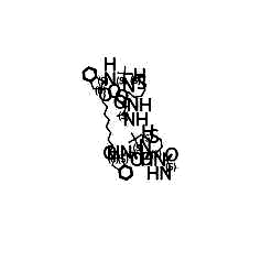 CN[C@@H](C)C(=O)NC1CCS[C@H]2CC(C)(C)[C@@H](C(=O)N[C@H]3c4ccccc4C[C@H]3OCCCCCCCCO[C@@H]3Cc4ccccc4[C@@H]3NC(=O)[C@H]3N4C(=O)[C@@H](NC(=O)[C@H](C)NC)CCS[C@H]4CC3(C)C)N2C1=O